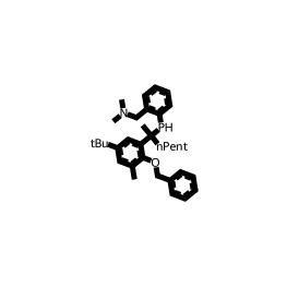 CCCCCC(C)(Pc1ccccc1CN(C)C)c1cc(C(C)(C)C)cc(C)c1OCc1ccccc1